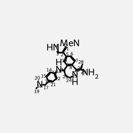 CN/C=C(\C=N)c1ccc2c(c1)C(Nc1ccc(CN(C)C)cc1)CCN/C2=C(/C)N